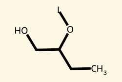 CCC(CO)OI